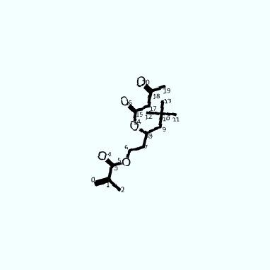 C=C(C)C(=O)OCCC(CC(C)(C)C)OC(=O)CC(C)=O